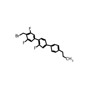 CCCc1ccc(-c2ccc(-c3cc(F)c(CBr)c(F)c3)c(F)c2)cc1